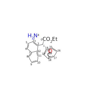 CCOC(=O)Cc1c(N)ccc2ccccc12.c1cc2ccc1CO2